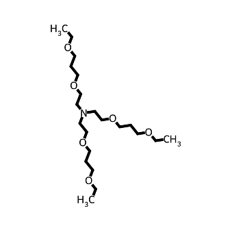 CCOCCCOCCN(CCOCCCOCC)CCOCCCOCC